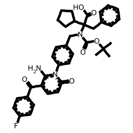 CC(C)(C)OC(=O)N(Cc1ccc(-n2c(N)c(C(=O)c3ccc(F)cc3)ccc2=O)cc1)C(Cc1ccccc1)(C(=O)O)C1CCCC1